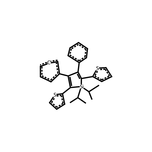 CC(C)[Si]1(C(C)C)C(c2cccs2)=C(c2ccccc2)C(c2ccccc2)=C1c1cccs1